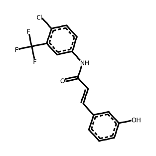 O=C(C=Cc1cccc(O)c1)Nc1ccc(Cl)c(C(F)(F)F)c1